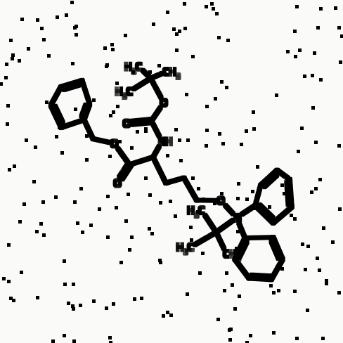 CC(C)(C)OC(=O)NC(CCCO[Si](c1ccccc1)(c1ccccc1)C(C)(C)C)C(=O)OCc1ccccc1